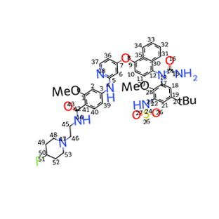 COc1cc(Nc2cc(Oc3ccc(N(C(N)=O)c4cc(C(C)(C)C)cc(NS(C)(=O)=O)c4OC)c4ccccc34)ccn2)ccc1C(=O)NCCN1CCC(F)CC1